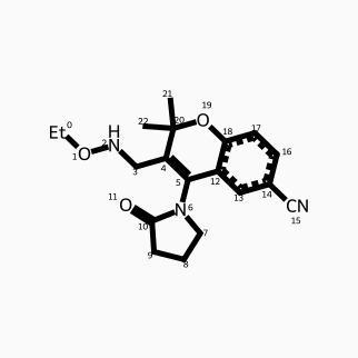 CCONCC1=C(N2CCCC2=O)c2cc(C#N)ccc2OC1(C)C